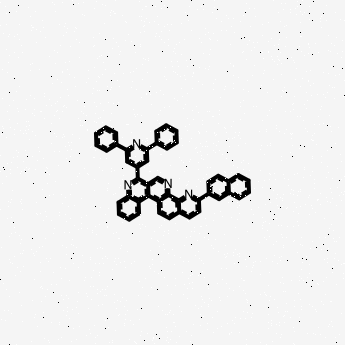 c1ccc(-c2cc(-c3nc4ccccc4c4c3cnc3c4ccc4ccc(-c5ccc6ccccc6c5)nc43)cc(-c3ccccc3)n2)cc1